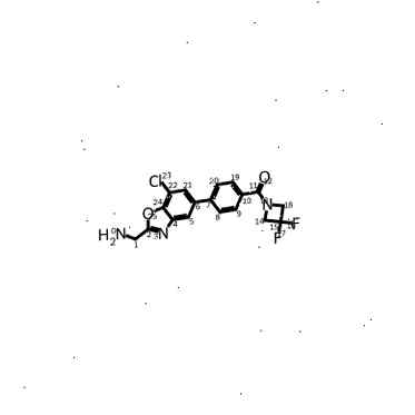 NCc1nc2cc(-c3ccc(C(=O)N4CC(F)(F)C4)cc3)cc(Cl)c2o1